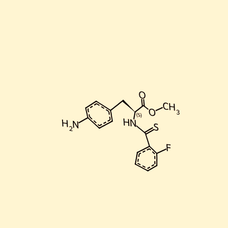 COC(=O)[C@H](Cc1ccc(N)cc1)NC(=S)c1ccccc1F